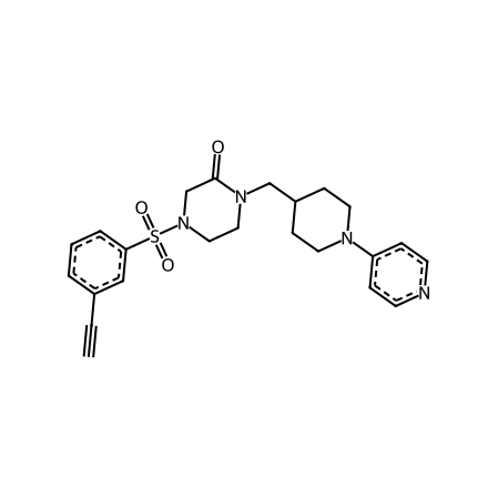 C#Cc1cccc(S(=O)(=O)N2CCN(CC3CCN(c4ccncc4)CC3)C(=O)C2)c1